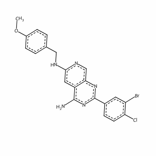 COc1ccc(CNc2cc3c(N)nc(-c4ccc(Cl)c(Br)c4)nc3cn2)cc1